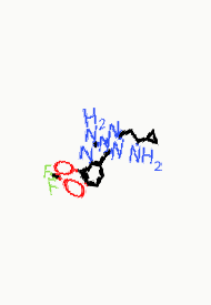 Nc1nc2c3c(ccc2c2nc(CC(N)C4CC4)nn12)OC(F)(F)O3